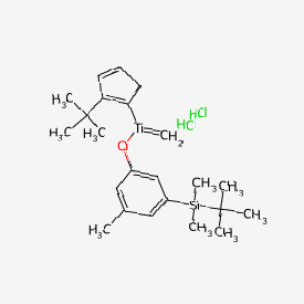 Cl.Cl.[CH2]=[Ti]([O]c1cc(C)cc([Si](C)(C)C(C)(C)C)c1)[C]1=C(C(C)(C)C)C=CC1